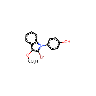 O=C(O)Oc1c(Br)n(-c2ccc(O)cc2)c2ccccc12